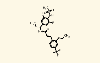 CCCc1cc(C(F)(F)F)ccc1/C=C/C(=O)N[C@H](CC)c1cc(F)c(NS(C)(=O)=O)c(F)c1